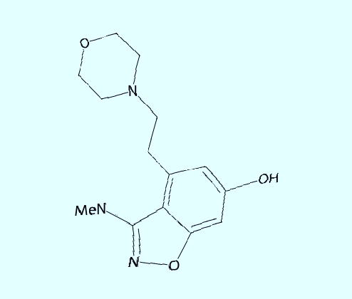 CNc1noc2cc(O)cc(CCN3CCOCC3)c12